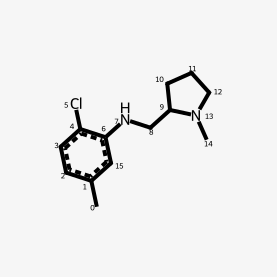 Cc1ccc(Cl)c(NCC2CCCN2C)c1